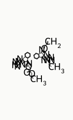 C=CCON=C1c2ccccc2-c2nn3c(CC)nnc3nc21.CCOC(=O)CON=C1c2ccccc2-c2nn3nnnc3nc21